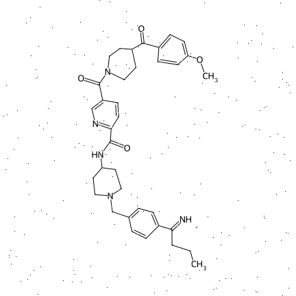 CCCC(=N)c1ccc(CN2CCC(NC(=O)c3ccc(C(=O)N4CCC(C(=O)c5ccc(OC)cc5)CC4)cn3)CC2)cc1